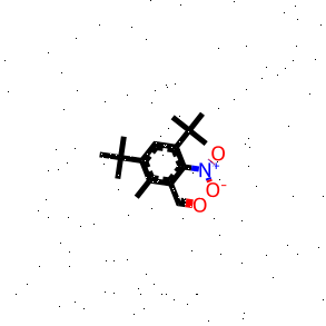 Cc1c(C(C)(C)C)cc(C(C)(C)C)c([N+](=O)[O-])c1C=O